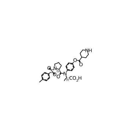 Cc1ccc(S(=O)(=O)N2CCC[C@H]2C(=O)N(c2ccc(OC(=O)C3CCNCC3)cc2)[C@@H](C)C(=O)O)cc1